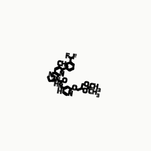 Cc1cc2c(nc1-c1cccc(C(F)F)c1)N(C(=O)Nc1ccnc(OCC3COC(C)(C)O3)c1)[C@H]1CCN2C1